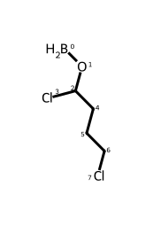 BOC(Cl)CCCCl